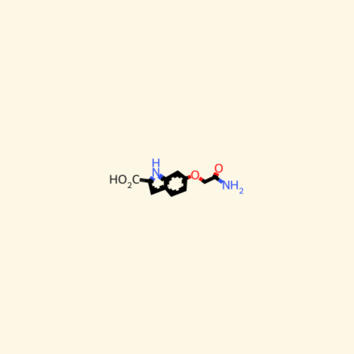 NC(=O)COc1ccc2cc(C(=O)O)[nH]c2c1